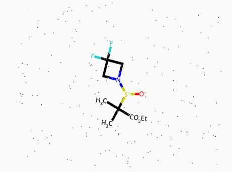 CCOC(=O)C(C)(C)[S+]([O-])N1CC(F)(F)C1